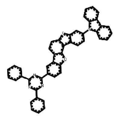 c1ccc(-c2nc(-c3ccccc3)nc(-c3ccc4oc5c(ccc6sc7cc(-n8c9ccccc9c9ccccc98)ccc7c65)c4c3)n2)cc1